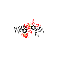 CC(C)(C)c1cc(OOc2c(O)c(C(C)(C)C)cc(S(=O)(=O)O)c2O)c(S(=O)(=O)O)c(O)c1O